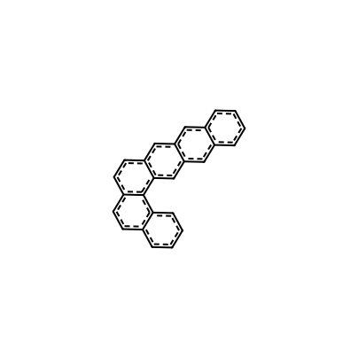 c1ccc2cc3cc4c(ccc5ccc6ccccc6c54)cc3cc2c1